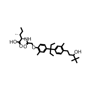 CC[C@@H](C)[C@@H](NC(=O)COc1ccc(C(CC)(CC)c2ccc(CCC(O)C(C)(C)C)c(C)c2)cc1C)C(=O)O